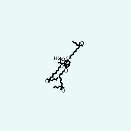 CCCCC1(CCCCCCCOC(=C(C)C(=O)O)C23CC4CC(OCCCCCCCC5(CCCC)COC5)(CC(OCCCCCCCC5(CCCC)COC5)(C4)C2)C3)COC1